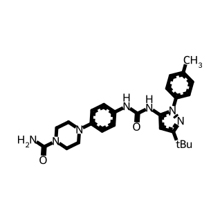 Cc1ccc(-n2nc(C(C)(C)C)cc2NC(=O)Nc2ccc(N3CCN(C(N)=O)CC3)cc2)cc1